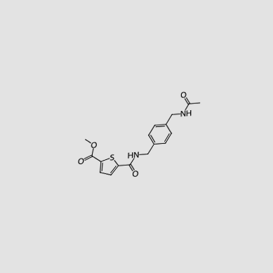 COC(=O)c1ccc(C(=O)NCc2ccc(CNC(C)=O)cc2)s1